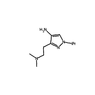 CC(C)n1cc(N)c(CCN(C)C)n1